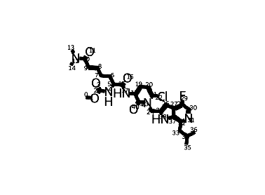 COC(=O)NC(CCC=CC(=O)N(C)C)C(=O)Nc1ccc(Cl)n(Cc2cc3c(F)cnc(CC(C)C)c3[nH]2)c1=O